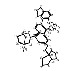 Cc1ccc2c(c1-c1ccc3c(C4C[C@H]5CC[C@@H](C4)C5)cc(CCC45CCCC4CCC5)cc3c1C)C=CC2